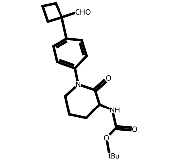 CC(C)(C)OC(=O)NC1CCCN(c2ccc(C3(C=O)CCC3)cc2)C1=O